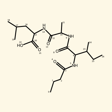 CCCC(=O)NC(C(=O)NC(C)C(=O)NC(CC(C)C)C(=O)O)C(C)CC